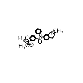 Cc1ccc(C(=O)N(c2ccccc2)c2ccc3c(c2)CN(C)CC3)cc1S(C)(=O)=O